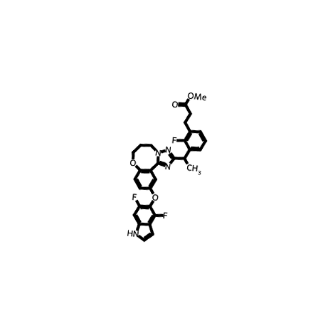 COC(=O)CCc1cccc(C(C)c2nc3n(n2)CCCOc2ccc(Oc4c(F)cc5[nH]ccc5c4F)cc2-3)c1F